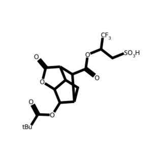 CC(C)(C)C(=O)OC1C2CC3C1OC(=O)C3C2C(=O)OC(CS(=O)(=O)O)C(F)(F)F